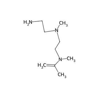 C=C(C)N(C)CCN(C)CCN